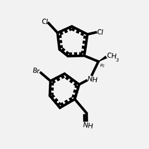 C[C@@H](Nc1cc(Br)ccc1C=N)c1ccc(Cl)cc1Cl